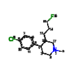 CN1CCC(c2ccc(Cl)cc2)C(CCCF)C1